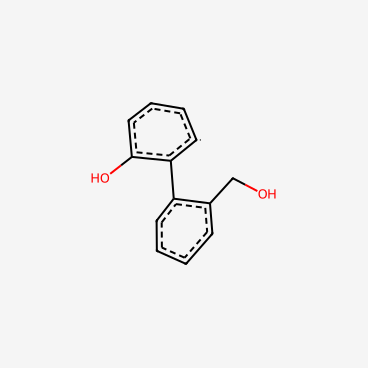 OCc1ccccc1-c1[c]cccc1O